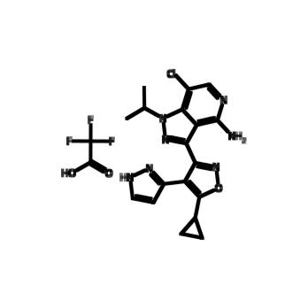 CC(C)n1nc(-c2noc(C3CC3)c2-c2cc[nH]n2)c2c(N)ncc(Cl)c21.O=C(O)C(F)(F)F